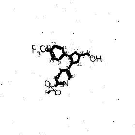 CS(=O)(=O)c1ccc(C2=C(c3ccc(C(F)(F)F)cc3)CC(CO)C2)cn1